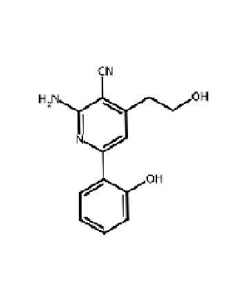 N#Cc1c(CCO)cc(-c2ccccc2O)nc1N